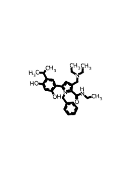 CCNC(=O)c1c(CN(CC)CC)cc(-c2cc(C(C)C)c(O)cc2O)n1Cc1ccccc1